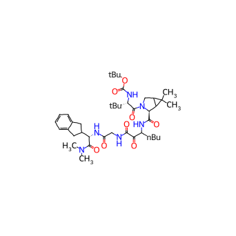 CCCCC(NC(=O)[C@@H]1C2C(CN1C(=O)[C@@H](NC(=O)OC(C)(C)C)C(C)(C)C)C2(C)C)C(=O)C(=O)NCC(=O)N[C@H](C(=O)N(C)C)C1Cc2ccccc2C1